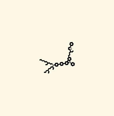 C=CCC/C=C/C(C=C)=C/C=C/N(/C(C=C)=C/C=C/C(C=C)CC=C)c1ccc(-c2ccc(-c3ccc4c(c3)c3cc(/C=C/C=C(\C=C)c5ccc(-c6ccccc6)s5)ccc3n4-c3ccccc3)cc2)cc1